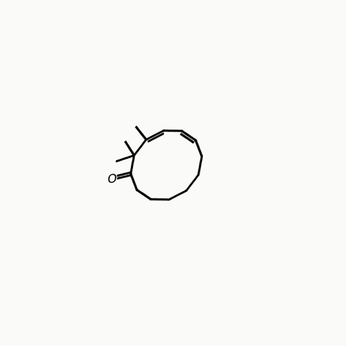 CC1=CC=CCCCCCCC(=O)C1(C)C